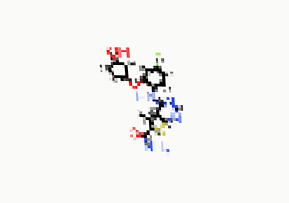 Cc1c(C(N)=O)sc2ncnc(Nc3ccc(F)cc3O[C@H]3CC[C@@H](O)C3)c12